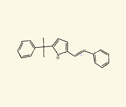 CC(C)(c1ccccc1)c1ccc(/C=N/c2ccccc2)[nH]1